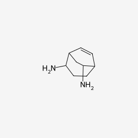 NC1CC2C=CC1CCC2N